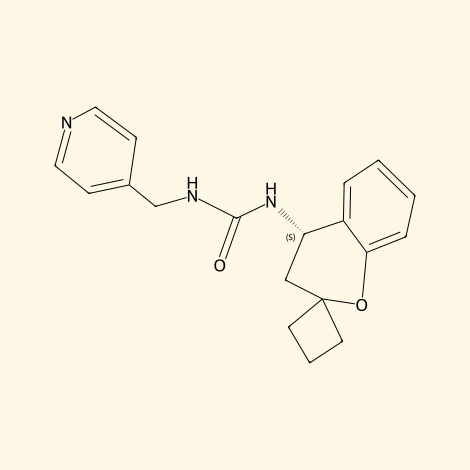 O=C(NCc1ccncc1)N[C@H]1CC2(CCC2)Oc2ccccc21